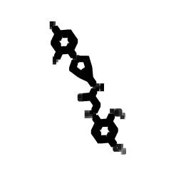 O=C(CNc1ccc(C(F)(F)F)cc1[N+](=O)[O-])NC1C2CN(c3ccc(F)cc3F)CC21